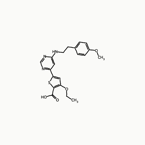 CCOc1cc(-c2cc(NCCc3ccc(OC)cc3)ncn2)sc1C(=O)O